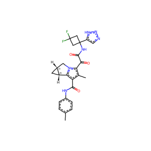 Cc1ccc(NC(=O)c2c(C)c(C(=O)C(=O)NC3(c4cnn[nH]4)CC(F)(F)C3)n3c2[C@@H]2C[C@@H]2C3)cc1